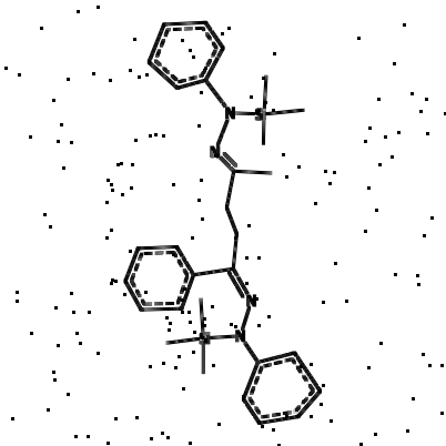 C/C(CC/C(=N/N(c1ccccc1)[Si](C)(C)C)c1ccccc1)=N\N(c1ccccc1)[Si](C)(C)C